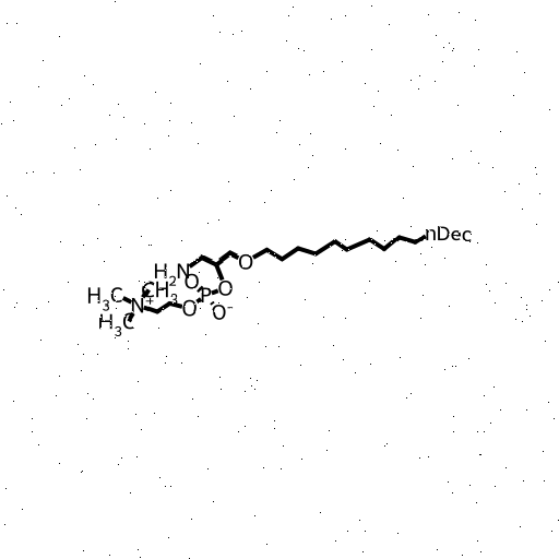 CCCCCCCCCCCCCCCCCCCCOCC(CN)OP(=O)([O-])OCC[N+](C)(C)C